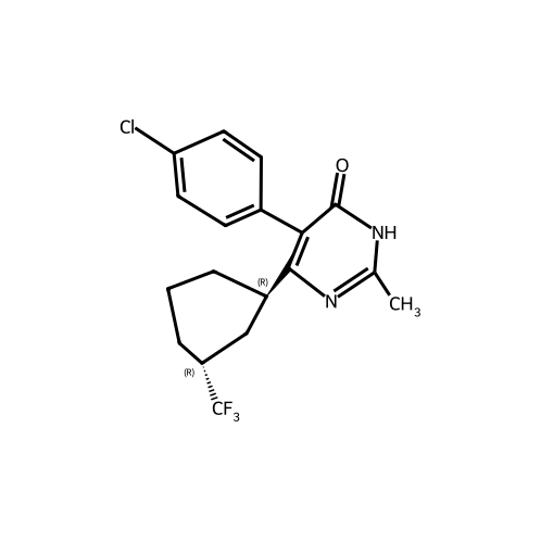 Cc1nc([C@@H]2CCC[C@@H](C(F)(F)F)C2)c(-c2ccc(Cl)cc2)c(=O)[nH]1